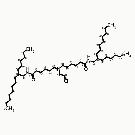 CCCCCCCCC(CCCCCC)CNC(=O)CCCCCN(CCCl)CCCCCC(=O)NCC(CCCCCC)CCCCCCCC